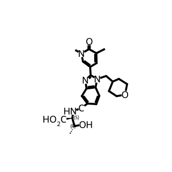 Cc1cc(-c2nc3cc(CN[C@H](C(=O)O)[C@@H](C)O)ccc3n2CC2CCOCC2)cn(C)c1=O